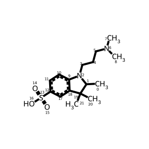 CC1N(CCCN(C)C)c2ccc(S(=O)(=O)O)cc2C1(C)C